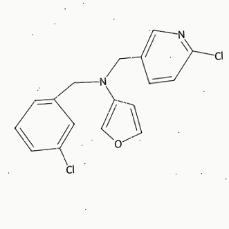 Clc1cccc(CN(Cc2ccc(Cl)nc2)c2ccoc2)c1